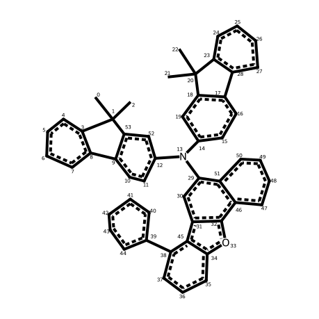 CC1(C)c2ccccc2-c2ccc(N(c3ccc4c(c3)C(C)(C)c3ccccc3-4)c3cc4c(oc5cccc(-c6ccccc6)c54)c4ccccc34)cc21